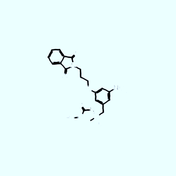 CC(C)(C)OC(=O)N=S(C)(=O)Cc1cc(OCCCN2C(=O)c3ccccc3C2=O)cc([N+](=O)[O-])c1